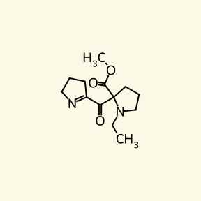 CCN1CCCC1(C(=O)OC)C(=O)C1=NCCC1